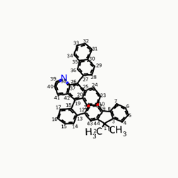 CC1(C)c2ccccc2-c2ccc(-c3ccccc3-c3c4ccccc4c(-c4ccc5ccccc5c4)c4ncccc34)cc21